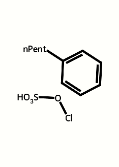 CCCCCc1ccccc1.O=S(=O)(O)OCl